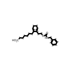 O=C(O)CCCCCCC1C2CCC(O2)C1CCOC(=O)NCc1ccccc1